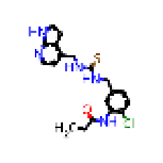 C=CC(=O)Nc1cc(CNC(=S)NCc2ccnc3[nH]ccc23)ccc1Cl